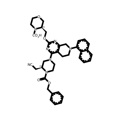 N#CC[C@H]1CN(c2nc(OC[C@@H]3COCCN3C(=O)O)nc3c2CCN(c2cccc4ccccc24)C3)CCN1C(=O)OCc1ccccc1